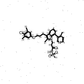 Cc1ccncc1-c1cccc2c(CCCOc3cc(C)c(Cl)c(C)c3)c(C)n(CCC(=O)NS(C)(=O)=O)c12